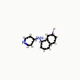 Ic1ccc2cccc(Nc3ccncc3)c2c1